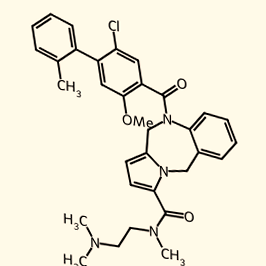 COc1cc(-c2ccccc2C)c(Cl)cc1C(=O)N1Cc2ccc(C(=O)N(C)CCN(C)C)n2Cc2ccccc21